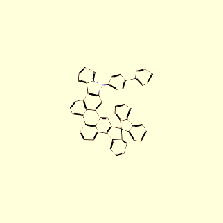 c1ccc(-c2ccc(-n3c4ccccc4c4c5cccc6c7cccc8c9c(cc(c(cc43)c65)c87)C3(c4ccccc4-c4ccccc43)c3ccccc3-9)cc2)cc1